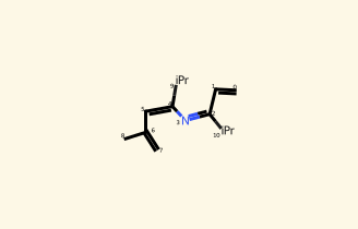 C=C/C(=N\C(=C/C(=C)C)C(C)C)C(C)C